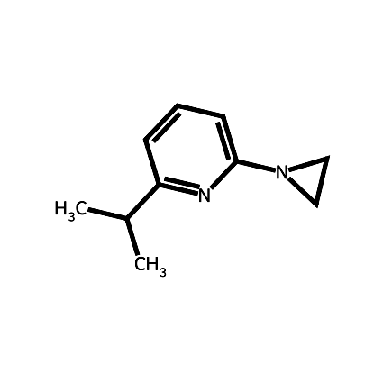 CC(C)c1cccc(N2CC2)n1